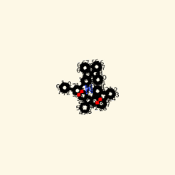 c1ccc(-c2cccc(-c3cc4c(cc3N(c3ccc5c6ccccc6c6ccccc6c5c3)c3cccc5c3-c3ccccc3C53CCCCC3)C3(c5ccccc5-c5ccccc53)c3ccccc3-4)c2)cc1